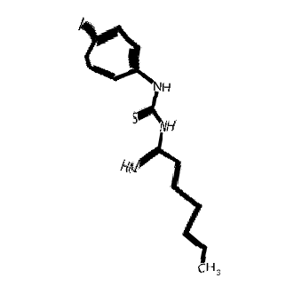 CCCCCCC(=N)NC(=S)Nc1ccc(I)cc1